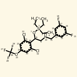 CC[Si](CC)(CC)OC(CNCc1cc(F)cc(F)c1)c1c(Cl)cc(OC(F)(F)F)cc1Cl